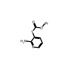 CC(C)OC(=O)Sc1cccnc1N